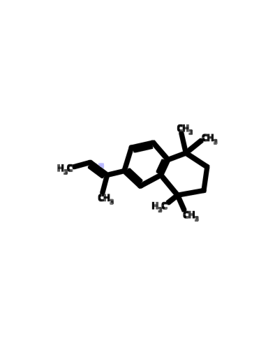 C/C=C(\C)c1ccc2c(c1)C(C)(C)CCC2(C)C